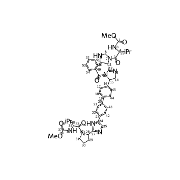 COC(=O)NC(C(=O)N1CNCC1C1=NCC(c2ccc(-c3ccc(-c4cnc(C5CCCN5C(=O)C(NC(=O)OC)C(C)C)[nH]4)cc3)cc2)N1C(=O)c1ccccc1)C(C)C